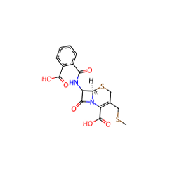 CSCC1=C(C(=O)O)N2C(=O)C(NC(=O)c3ccccc3C(=O)O)[C@H]2SC1